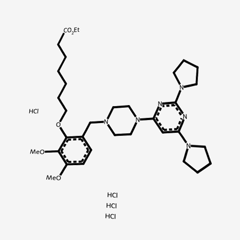 CCOC(=O)CCCCCCOc1c(CN2CCN(c3cc(N4CCCC4)nc(N4CCCC4)n3)CC2)ccc(OC)c1OC.Cl.Cl.Cl.Cl